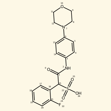 O=C(Nc1ccc(N2CCOCC2)cc1)C(c1ccccc1F)S(=O)(=O)O